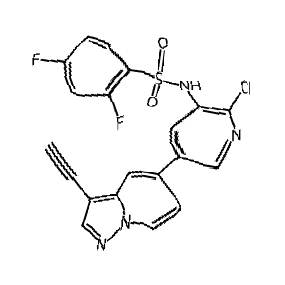 C#Cc1cnn2ccc(-c3cnc(Cl)c(NS(=O)(=O)c4ccc(F)cc4F)c3)cc12